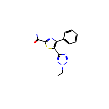 CCn1nnc(-c2sc(C(N)=O)nc2-c2ccccc2)n1